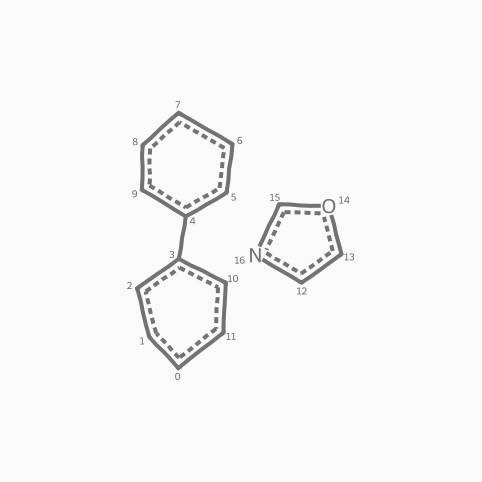 c1ccc(-c2ccccc2)cc1.c1cocn1